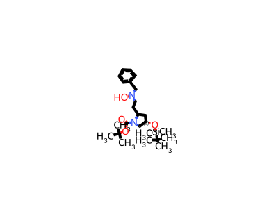 CC(C)(C)OC(=O)N1C[C@@H](O[Si](C)(C)C(C)(C)C)CC1CCN(O)Cc1ccccc1